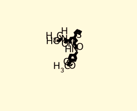 C[C@H](CO)NC(=O)c1cc(-c2cccs2)cc(C(=O)NCc2ccc(S(C)(=O)=O)cc2)n1